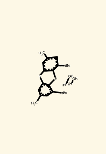 CC(C)O.CC(C)O.Cc1cc2[c](c(C(C)(C)C)c1)[Ti][c]1c(cc(C)cc1C(C)(C)C)S2